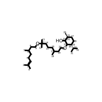 CC(C)=CCCC(C)CCOC(C)(C)CCCC(C)CCOC1C(O)[C@@H](C)CC[C@@H]1C(C)C